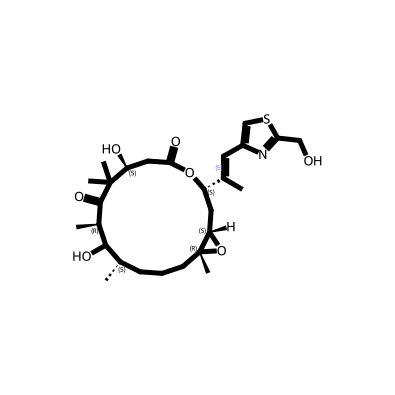 C/C(=C\c1csc(CO)n1)[C@@H]1C[C@@H]2O[C@]2(C)CCC[C@H](C)C(O)[C@@H](C)C(=O)C(C)(C)[C@@H](O)CC(=O)O1